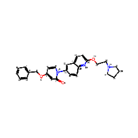 O=c1cc(OCc2ccccc2)ccn1-c1ccc2nc(OCCN3CCCC3)ccc2c1